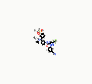 CN(C1CC1)C(c1cccc(NC(=O)c2cc(C(F)(F)F)nn2-c2cccc(C#N)c2)c1)c1cccc(S(C)(=O)=O)c1